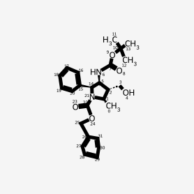 C[C@@H]1[C@@H](CO)[C@H](NC(=O)OC(C)(C)C)[C@H](c2ccccc2)N1C(=O)OCc1ccccc1